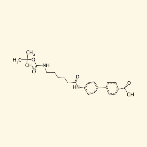 CC(C)(C)OC(=O)NCCCCCC(=O)Nc1ccc(-c2ccc(C(=O)O)cc2)cc1